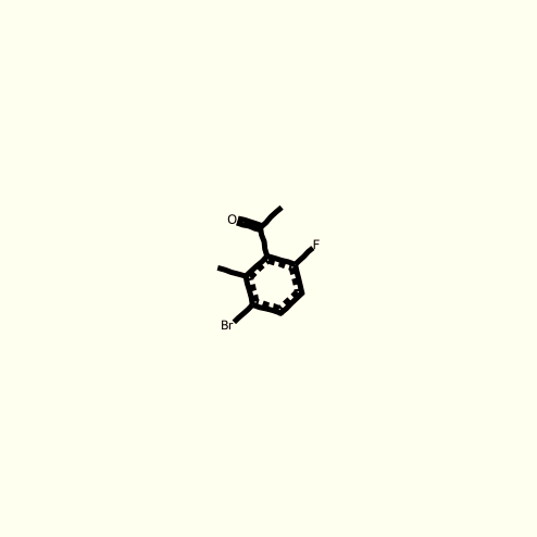 CC(=O)c1c(F)ccc(Br)c1C